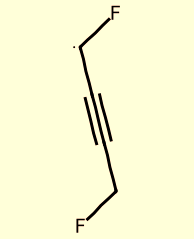 F[CH]C#CCF